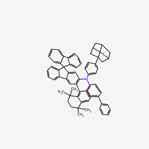 CC1(C)CCC(C)(C)c2c(-c3cc4c(cc3N(c3ccc(-c5ccccc5)cc3)c3ccc(C56CC7CC8CC(C5)C86C7)cc3)C3(c5ccccc5-c5ccccc53)c3ccccc3-4)cccc21